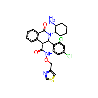 N[C@H]1CCCC[C@@H]1N1C(=O)c2ccccc2[C@@H](C(=O)NOCc2cscn2)[C@@H]1c1ccc(Cl)cc1Cl